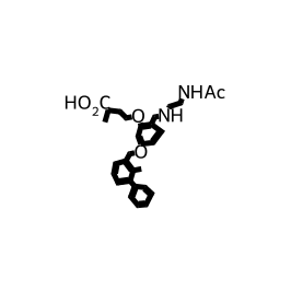 CC(=O)NCCNCc1ccc(OCc2cccc(-c3ccccc3)c2C)cc1OCCC(C)C(=O)O